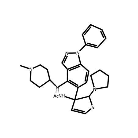 CC(=O)NC1(c2ccc3c(cnn3-c3ccccc3)c2NC2CCN(C)CC2)C=CSC1N1CCCC1